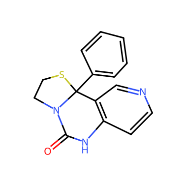 O=C1Nc2ccncc2C2(c3ccccc3)SCCN12